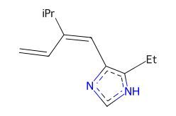 C=C/C(=C\c1nc[nH]c1CC)C(C)C